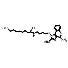 CCCCCCCCCCCCCCCCCC(O)NCCCCOn1c(CCCC)nc2c(N)nc3ccccc3c21